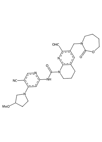 COC1CCN(c2cc(NC(=O)N3CCCc4cc(CN5CCCCOC5=O)c(C=O)nc43)ncc2C#N)C1